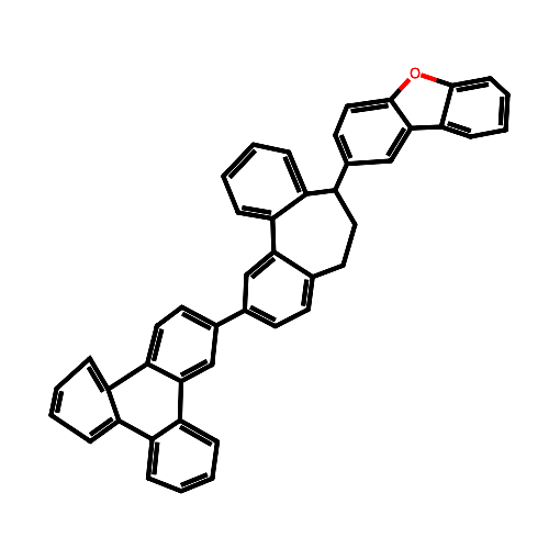 c1ccc2c(c1)-c1cc(-c3ccc4c5ccccc5c5ccccc5c4c3)ccc1CCC2c1ccc2oc3ccccc3c2c1